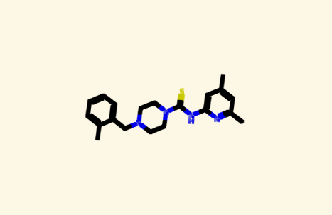 Cc1cc(C)nc(NC(=S)N2CCN(Cc3ccccc3C)CC2)c1